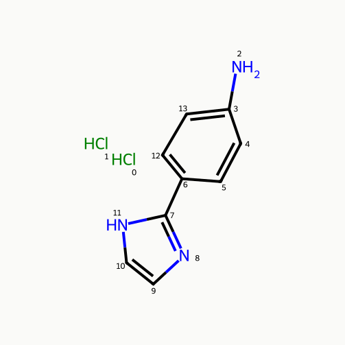 Cl.Cl.Nc1ccc(-c2ncc[nH]2)cc1